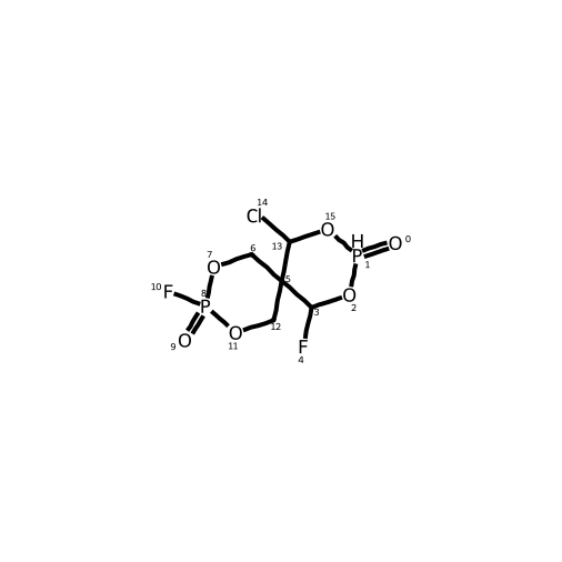 O=[PH]1OC(F)C2(COP(=O)(F)OC2)C(Cl)O1